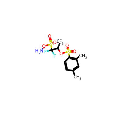 Cc1ccc(S(=O)(=O)OC(C(F)(F)F)C(F)(F)S(=O)(=O)ON)c(C)c1